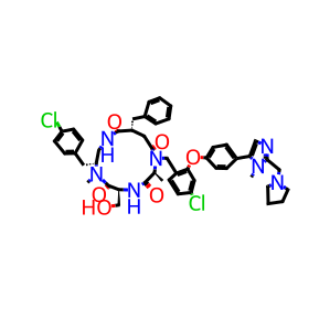 C[C@H]1C(=O)N[C@@H](CO)C(=O)N(C)[C@H](Cc2ccc(Cl)cc2)CNC(=O)[C@H](Cc2ccccc2)CC(=O)N1Cc1ccc(Cl)cc1Oc1ccc(-c2cnc(CN3CCCC3)n2C)cc1